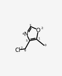 Cc1o[c]nc1CCl